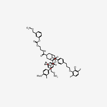 COc1ccc(CN(C(=O)C2=C(c3ccc(CCCOc4c(F)ccc(F)c4Cl)cc3)CC3CC(C(=O)NCCOC(=O)Oc4cccc(CO[N+](=O)[O-])c4)CC2N3C(=O)Oc2cccc(CO[N+](=O)[O-])c2)C2CC2)cc1C